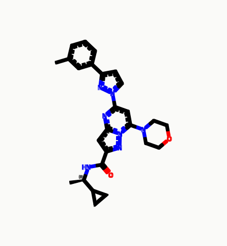 Cc1cccc(-c2ccn(-c3cc(N4CCOCC4)n4nc(C(=O)N[C@H](C)C5CC5)cc4n3)n2)c1